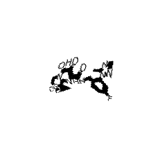 Cc1ncnn1-c1cc(F)ccc1CNC(=O)c1nc2n(c(=O)c1O)CCS(=O)(=O)C21CC1